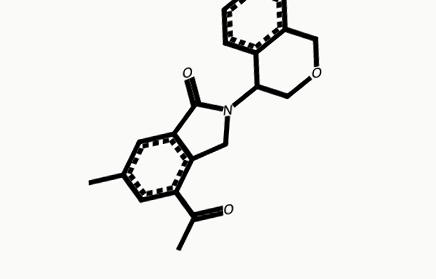 CC(=O)c1cc(C)cc2c1CN(C1COCc3ccccc31)C2=O